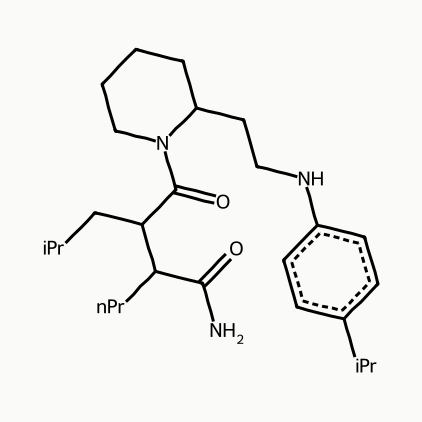 CCCC(C(N)=O)C(CC(C)C)C(=O)N1CCCCC1CCNc1ccc(C(C)C)cc1